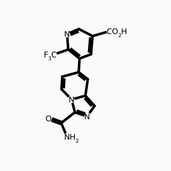 NC(=O)c1ncc2cc(-c3cc(C(=O)O)cnc3C(F)(F)F)ccn12